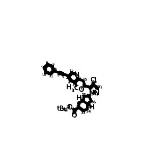 Cc1cc(C#Cc2ccccc2)cnc1CC(=O)c1c(Cl)cnn1C1C[C@H]2CC(C(=O)OC(C)(C)C)=CC[C@H]2C1